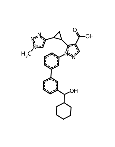 Cn1cc(C2CC2c2c(C(=O)O)cnn2-c2cccc(-c3cccc(C(O)C4CCCCC4)c3)c2)nn1